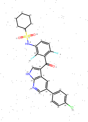 O=C(c1c(F)ccc(NS(=O)(=O)C2CCCCC2)c1F)c1c[nH]c2ncc(-c3ccc(Cl)cc3)cc12